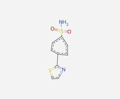 NS(=O)(=O)c1ccc(-c2nccs2)cc1